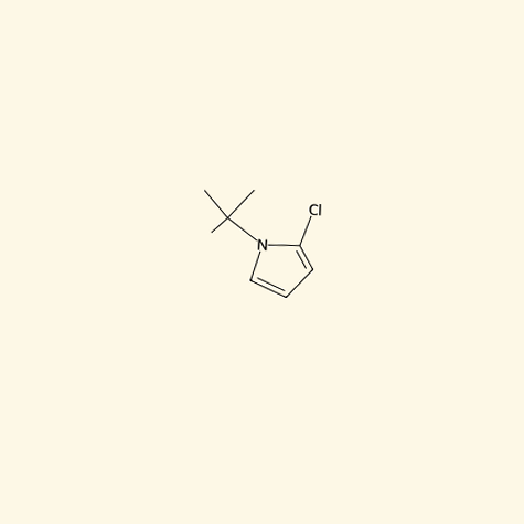 CC(C)(C)n1cccc1Cl